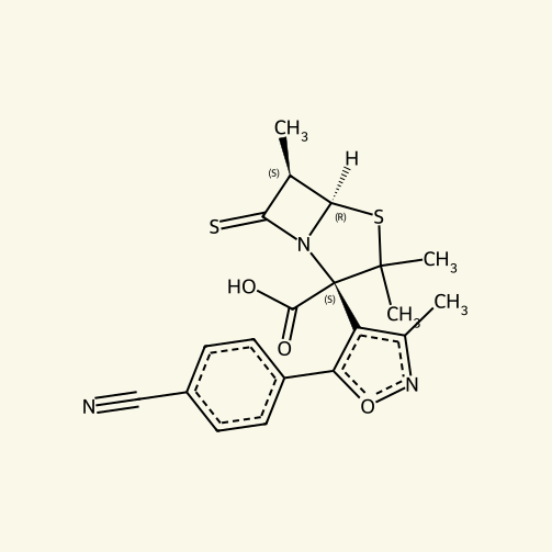 Cc1noc(-c2ccc(C#N)cc2)c1[C@@]1(C(=O)O)N2C(=S)[C@@H](C)[C@H]2SC1(C)C